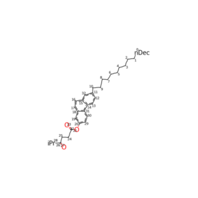 CCCCCCCCCCCCCCCCCCCCc1ccc2c(ccc3cc(OC(=O)CCC(=O)C(C)C)ccc32)c1